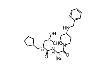 CC(C)(C)[C@H](NC(=O)[C@H](CC1CCCC1)CN(O)C=O)C(=O)N1CCC(NCc2ccccn2)CC1